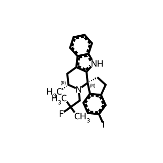 C[C@@H]1Cc2c([nH]c3ccccc23)[C@]2(CCc3cc(I)ccc32)N1CC(C)(C)F